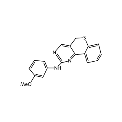 COc1cccc(Nc2ncc3c(n2)-c2ccccc2SC3)c1